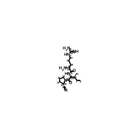 CC[C@H](C)[C@H](NC(=O)[C@@H](N)CCCNC(=N)N)C(=O)N1CCC[C@H]1C#N